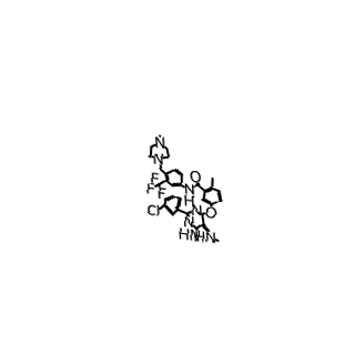 CN/C=C1\C(=N)N=C(c2cccc(Cl)c2)N=C1Oc1ccc(C)c(C(=O)Nc2ccc(CN3CCN(C)CC3)c(C(F)(F)F)c2)c1